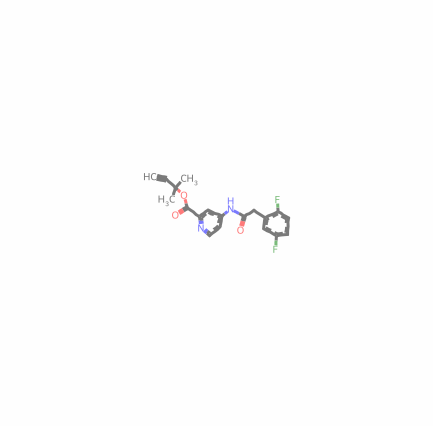 C#CC(C)(C)OC(=O)c1cc(NC(=O)Cc2cc(F)ccc2F)ccn1